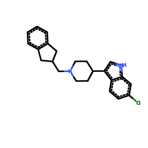 Clc1ccc2c(C3CCN(CC4Cc5ccccc5C4)CC3)c[nH]c2c1